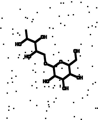 CC(O)C(O)C(O)COC1OC(CO)C(O)C(O)C1O